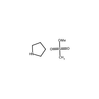 C1CCNC1.COS(C)(=O)=O